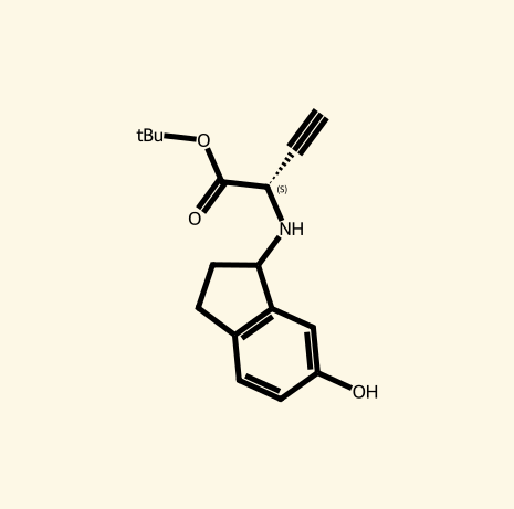 C#C[C@H](NC1CCc2ccc(O)cc21)C(=O)OC(C)(C)C